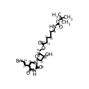 CC(C)(C)OC(=O)NCCCCCC(=O)OC[C@H]1O[C@@H](n2cc(C=CBr)c(=O)[nH]c2=O)C[C@@H]1O